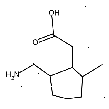 CC1CCCC(CN)C1CC(=O)O